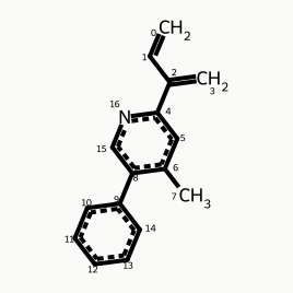 C=CC(=C)c1cc(C)c(-c2ccccc2)cn1